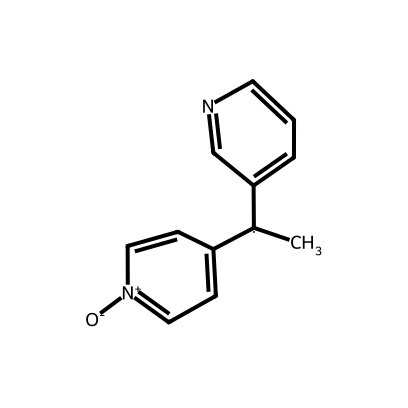 C[C](c1cc[n+]([O-])cc1)c1cccnc1